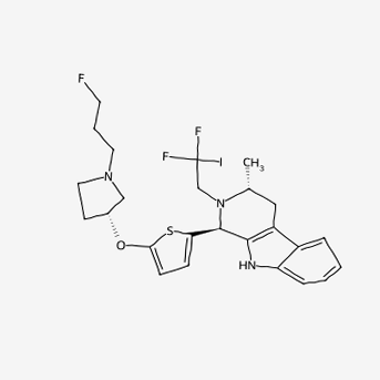 C[C@@H]1Cc2c([nH]c3ccccc23)[C@@H](c2ccc(O[C@@H]3CCN(CCCF)C3)s2)N1CC(F)(F)I